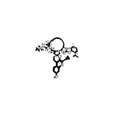 COc1ccc2c3c(c(C4CC4)nc2c1)O[C@]1(CC3)C[C@H]2C(=O)N[C@]3(C(=O)NS(=O)(=O)C4(C)CC4)C[C@H]3/C=C\CCCCC[C@H](NC(=O)O[C@@H]3C[C@H](C)CC[C@H]3C(C)C)C(=O)N2C1